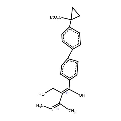 CCOC(=O)C1(c2ccc(-c3ccc(/C(O)=C(CO)/C(C)=N\C)cc3)cc2)CC1